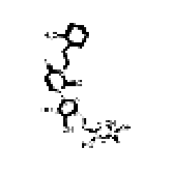 Cc1ccccc1CCn1c(=O)ccn([C@@H]2O[C@H](COP(=O)(O)OP(=O)(O)O)C(O)[C@@H]2O)c1=O